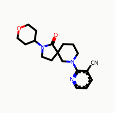 N#Cc1cccnc1N1CCCC2(CCN(C3CCOCC3)C2=O)C1